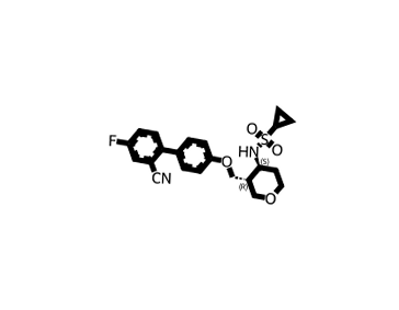 N#Cc1cc(F)ccc1-c1ccc(OC[C@H]2COCC[C@@H]2NS(=O)(=O)C2CC2)cc1